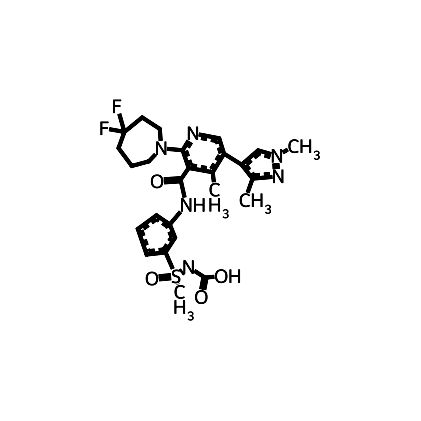 Cc1nn(C)cc1-c1cnc(N2CCCC(F)(F)CC2)c(C(=O)Nc2cccc(S(C)(=O)=NC(=O)O)c2)c1C